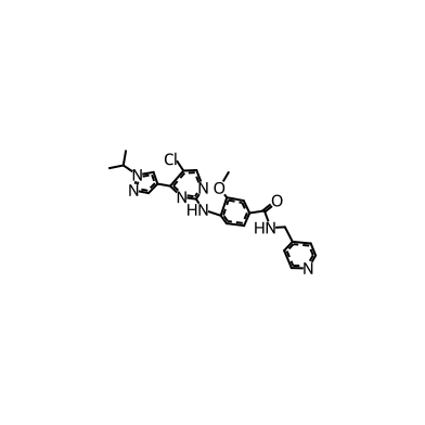 COc1cc(C(=O)NCc2ccncc2)ccc1Nc1ncc(Cl)c(-c2cnn(C(C)C)c2)n1